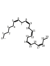 [CH2]CCCC/C=C\C/C=C\C/C=C\C/C=C\C/C=C\CC